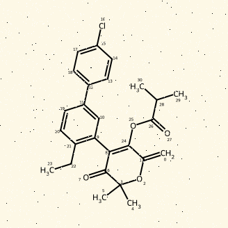 C=C1OC(C)(C)C(=O)C(c2cc(-c3ccc(Cl)cc3)ccc2CC)=C1OC(=O)C(C)C